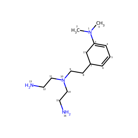 CN(C)C1=CC=CC(CCN(CCN)CCN)C1